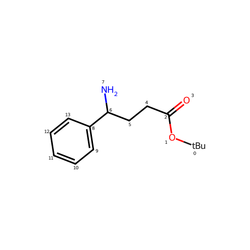 CC(C)(C)OC(=O)CCC(N)c1ccccc1